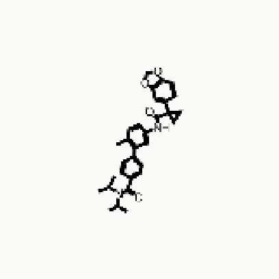 Cc1ccc(NC(=O)C2(c3ccc4c(c3)OCO4)CC2)cc1-c1ccc(C(=O)N(C(C)C)C(C)C)cc1